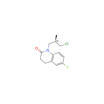 C[C@@H](CCl)CN1C(=O)CCc2cc(F)ccc21